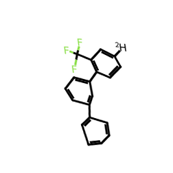 [2H]c1ccc(-c2cccc(-c3ccccc3)c2)c(C(F)(F)F)c1